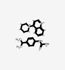 CC(C)c1ccc(NC(=O)O)cc1.c1ccc2c(N3CCCCC3)ccnc2c1